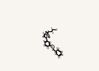 CCCCn1ccc(-c2cccc(OCc3ccccc3)c2)n1